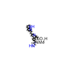 CN/C(=C(/C)C=N)c1cccc(C(CC(=O)O)CN2CCC(CCc3ccc4c(n3)NCCC4)C2)c1